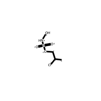 CC(Cl)COS(=O)(=O)NO